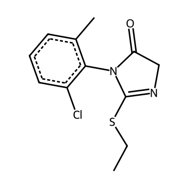 CCSC1=NCC(=O)N1c1c(C)cccc1Cl